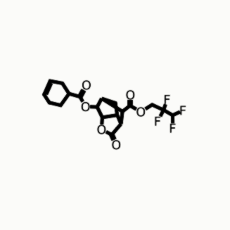 O=C(OC1C2CC3C1OC(=O)C3C2C(=O)OCC(F)(F)C(F)F)C1CC=CCC1